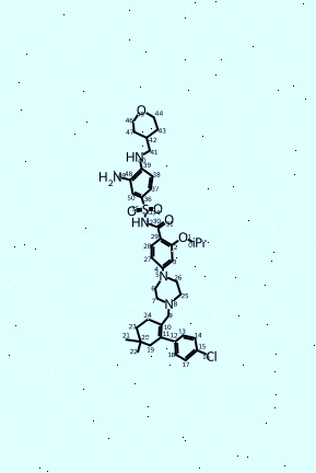 CC(C)Oc1cc(N2CCN(CC3=C(c4ccc(Cl)cc4)CC(C)(C)CC3)CC2)ccc1C(=O)NS(=O)(=O)c1ccc(NCC2CCOCC2)c(N)c1